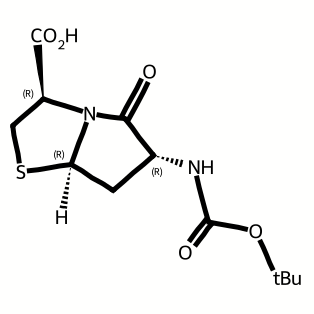 CC(C)(C)OC(=O)N[C@@H]1C[C@H]2SC[C@@H](C(=O)O)N2C1=O